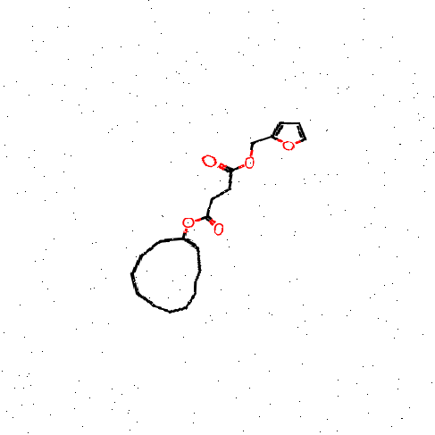 O=C(CCC(=O)OC1CCCCCCCCCC1)OCc1ccco1